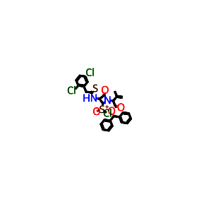 C=C(C)C(C(=O)OC(c1ccccc1)c1ccccc1)N1C(=O)C(NC(=S)Cc2cc(Cl)ccc2Cl)C1[S+]([O-])Cl